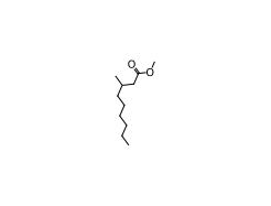 CCCCCCC(C)CC(=O)OC